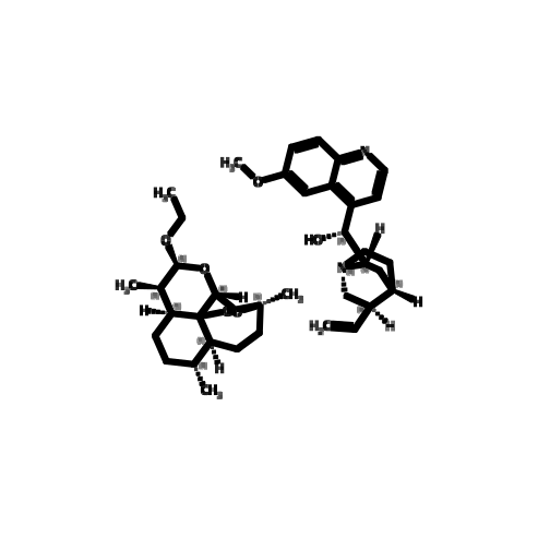 C=C[C@H]1C[N@]2CC[C@H]1C[C@H]2[C@H](O)c1ccnc2ccc(OC)cc12.CCO[C@H]1O[C@@H]2O[C@]3(C)CC[C@H]4[C@H](C)CC[C@@H]([C@H]1C)C24OO3